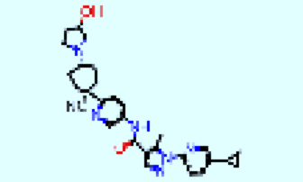 Cc1c(C(=O)Nc2ccc([C@]3(C#N)CC[C@@H](N4CCC(O)C4)CC3)nc2)cnn1-c1ccc(C2CC2)cn1